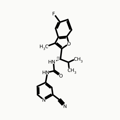 Cc1c([C@@H](NC(=O)Nc2ccnc(C#N)c2)C(C)C)oc2ccc(F)cc12